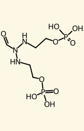 O=CN(NCCOP(=O)(O)O)NCCOP(=O)(O)O